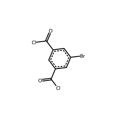 O=C(Cl)c1cc(Br)cc(C(=O)Cl)c1